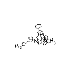 C=CCCC(=O)N1CCC(NS(C)(=O)=O)C1Cc1cccc(-c2ccccc2)c1